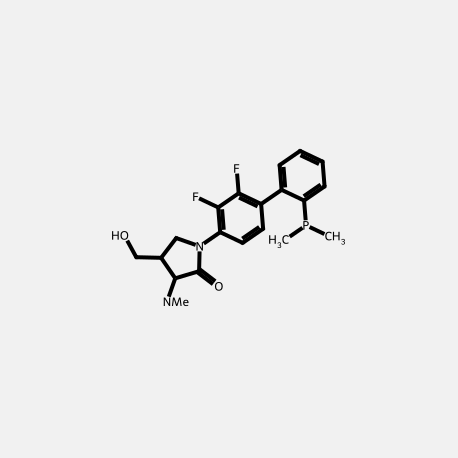 CNC1C(=O)N(c2ccc(-c3ccccc3P(C)C)c(F)c2F)CC1CO